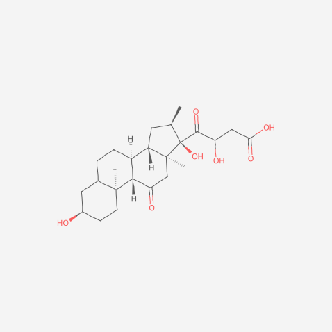 C[C@@H]1C[C@H]2[C@@H]3CCC4C[C@H](O)CC[C@]4(C)[C@H]3C(=O)C[C@]2(C)[C@@]1(O)C(=O)C(O)CC(=O)O